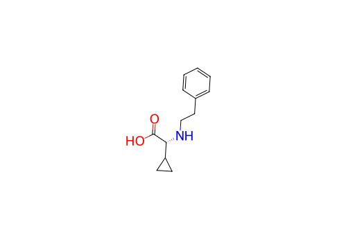 O=C(O)[C@H](NCCc1ccccc1)C1CC1